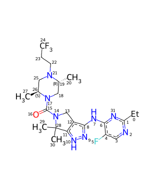 CCc1ncc(F)c(Nc2n[nH]c3c2CN(C(=O)N2C[C@@H](C)N(CCC(F)(F)F)C[C@@H]2C)C3(C)C)n1